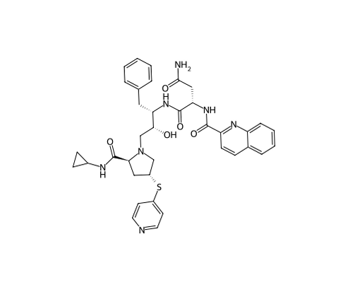 NC(=O)C[C@H](NC(=O)c1ccc2ccccc2n1)C(=O)N[C@@H](Cc1ccccc1)[C@H](O)CN1C[C@H](Sc2ccncc2)C[C@H]1C(=O)NC1CC1